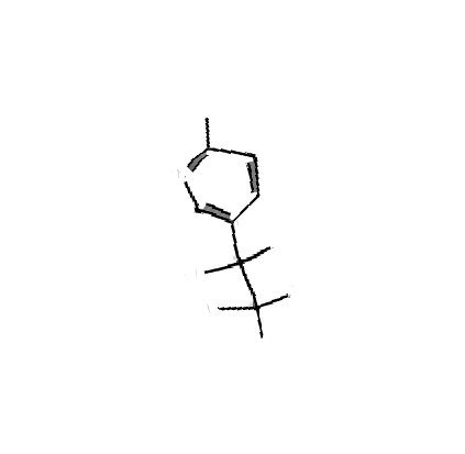 [CH2]c1ccc(C(F)(F)C(F)(F)C(F)(F)F)cn1